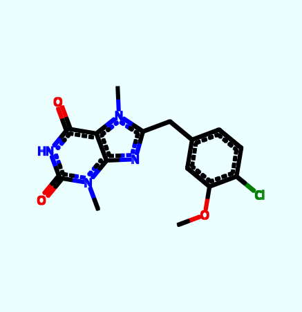 COc1cc(Cc2nc3c(c(=O)[nH]c(=O)n3C)n2C)ccc1Cl